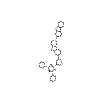 c1ccc(-c2nc(-c3ccccc3)nc(-c3cccc(-c4ccc5c(c4)sc4ccc(-c6ccc7c(c6)sc6ccccc67)cc45)c3)n2)cc1